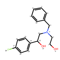 OCCN(Cc1ccccc1)CC(O)c1ccc(F)cc1